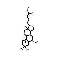 CC[C@H]1CC2C3CCC(CCCC(=O)OC)C3(C)CC[C@@H]2C2(C)CCC(O)(O)CC12